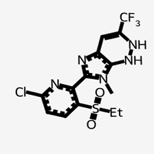 CCS(=O)(=O)c1ccc(Cl)nc1-c1nc2c(n1C)NNC(C(F)(F)F)=C2